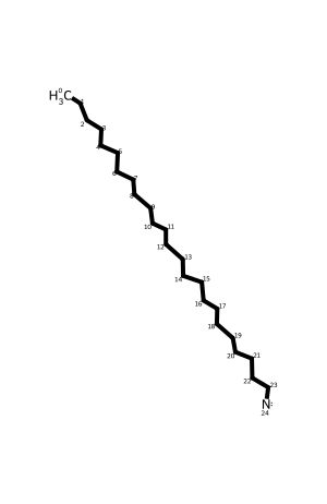 CCCCCCCCCCCCCCCCCCCCCCCC[N]